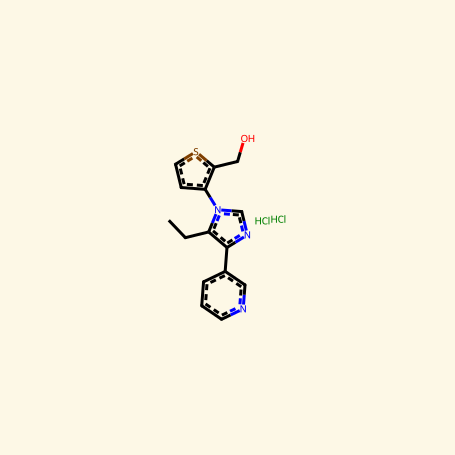 CCc1c(-c2cccnc2)ncn1-c1ccsc1CO.Cl.Cl